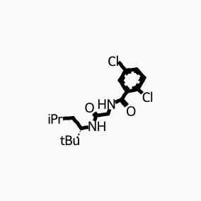 CC(C)C[C@H](NC(=O)CNC(=O)c1cc(Cl)ccc1Cl)C(C)(C)C